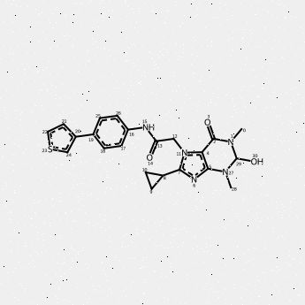 CN1C(=O)c2c(nc(C3CC3)n2CC(=O)Nc2ccc(-c3ccsc3)cc2)N(C)C1O